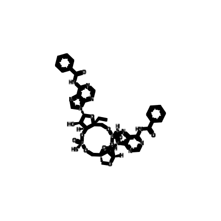 CC[C@@]12CO[P@@](=O)(S)O[C@H]3[C@H]4OC[C@]3(CO[P@@](=O)(S)O[C@H]1[C@@H](O)[C@H](n1cnc3c(NC(=O)c5ccccc5)ncnc31)O2)O[C@H]4n1cnc2c(NC(=O)c3ccccc3)ncnc21